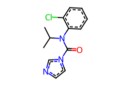 CC(C)N(C(=O)n1ccnc1)c1ccccc1Cl